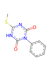 CSc1nc(=O)n(-c2ccccc2)c(=O)[nH]1